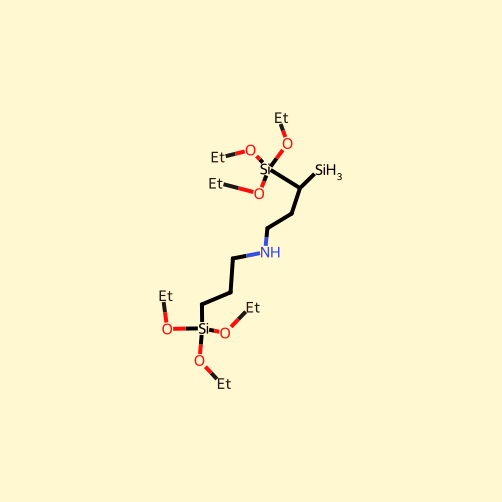 CCO[Si](CCCNCCC([SiH3])[Si](OCC)(OCC)OCC)(OCC)OCC